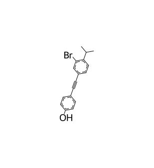 CC(C)c1ccc(C#Cc2ccc(O)cc2)cc1Br